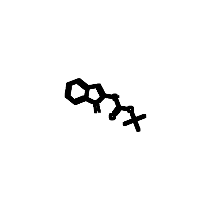 CC(C)(C)OC(=O)[B]c1cc2ccccc2[nH]1